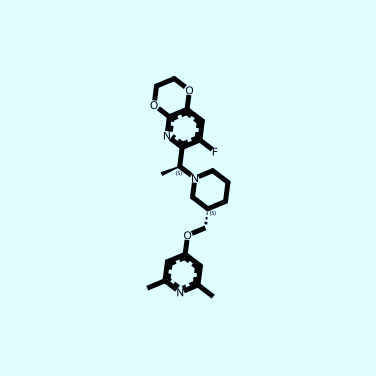 Cc1cc(OC[C@H]2CCCN([C@@H](C)c3nc4c(cc3F)OCCO4)C2)cc(C)n1